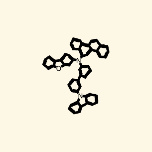 c1cc(-c2cccc(-n3c4ccccc4c4ccccc43)c2)cc(N(c2ccc3c(c2)oc2ccccc23)c2cc3c4ccccc4ccc3c3ccccc23)c1